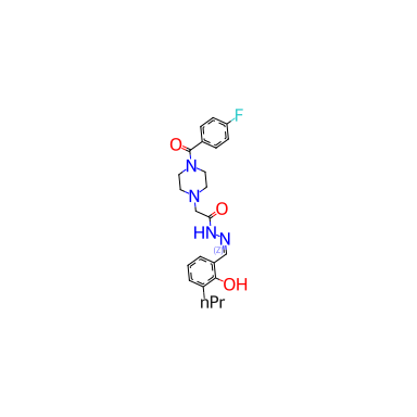 CCCc1cccc(/C=N\NC(=O)CN2CCN(C(=O)c3ccc(F)cc3)CC2)c1O